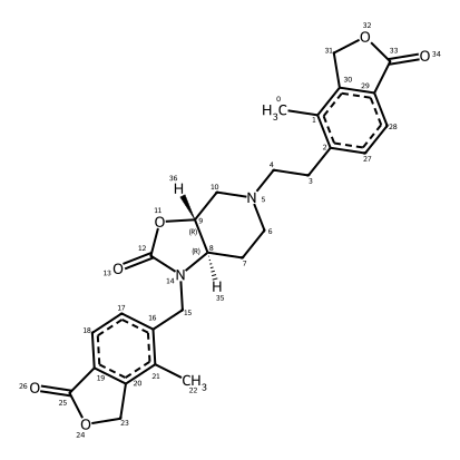 Cc1c(CCN2CC[C@@H]3[C@@H](C2)OC(=O)N3Cc2ccc3c(c2C)COC3=O)ccc2c1COC2=O